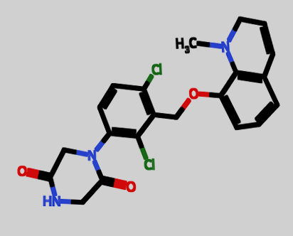 CN1CC=Cc2cccc(OCc3c(Cl)ccc(N4CC(=O)NCC4=O)c3Cl)c21